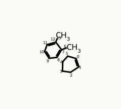 C1=CCCCC1.Cc1ccccc1C